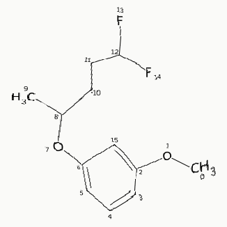 COc1cccc(OC(C)[CH]CC(F)F)c1